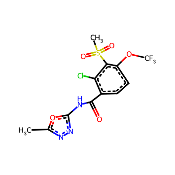 Cc1nnc(NC(=O)c2ccc(OC(F)(F)F)c(S(C)(=O)=O)c2Cl)o1